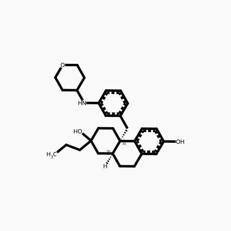 CCCC1(O)CC[C@@]2(Cc3cccc(NC4CCOCC4)c3)c3ccc(O)cc3CC[C@H]2C1